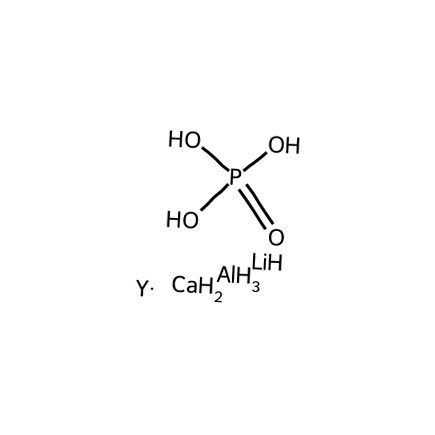 O=P(O)(O)O.[AlH3].[CaH2].[LiH].[Y]